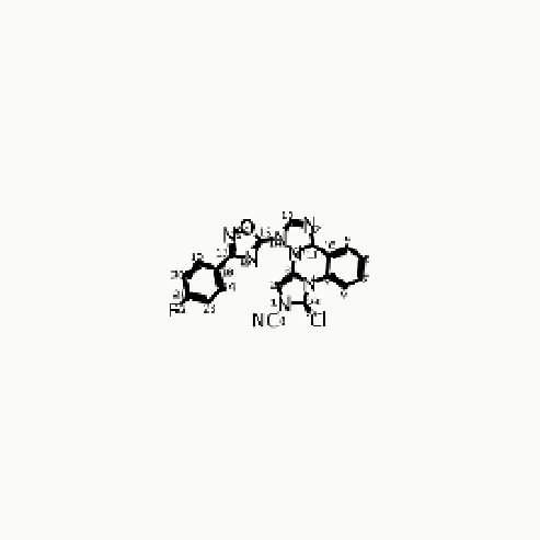 N#CN1C=C2N(c3ccccc3C3N=CN(c4nc(-c5ccc(F)cc5)no4)N23)C1Cl